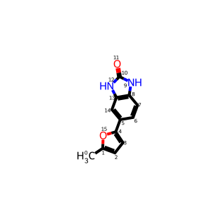 Cc1ccc(-c2ccc3[nH]c(=O)[nH]c3c2)o1